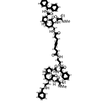 CC[C@H](NC)C(=O)N[C@@H]1C(=O)N2[C@@H](CC[C@@H]1CNC(=O)CCC#CCCC(=O)NCCNC(=O)[C@@H](NC(=O)[C@@H]1CC[C@@H]3CC[C@H](CCNCc4ccccc4)[C@H](NC(=O)[C@H](CC)NC)C(=O)N31)c1ccccc1)CC[C@H]2C(=O)NC(c1ccccc1)c1ccccc1